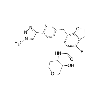 Cn1cc(-c2ccc(Cc3cc(C(=O)N[C@H]4CCOC[C@@H]4O)c(F)c4c3OCC4)cn2)nn1